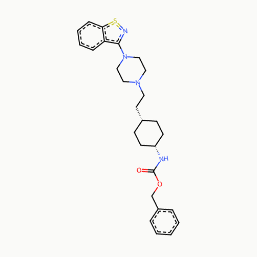 O=C(N[C@H]1CC[C@@H](CCN2CCN(c3nsc4ccccc34)CC2)CC1)OCc1ccccc1